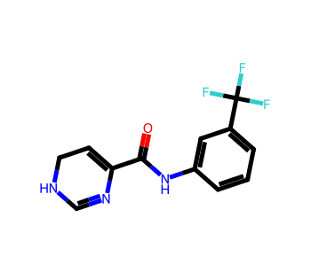 O=C(Nc1cccc(C(F)(F)F)c1)C1=CCNC=N1